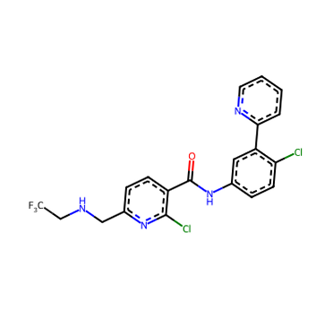 O=C(Nc1ccc(Cl)c(-c2ccccn2)c1)c1ccc(CNCC(F)(F)F)nc1Cl